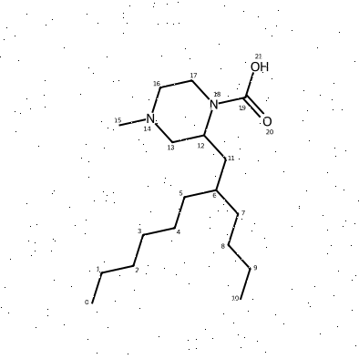 CCCCCCC(CCCC)CC1CN(C)CCN1C(=O)O